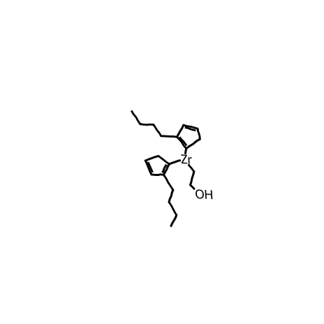 CCCCC1=[C]([Zr]([CH2]CO)[C]2=C(CCCC)C=CC2)CC=C1